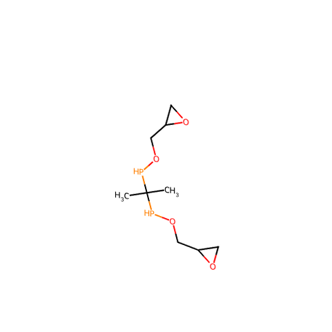 CC(C)(POCC1CO1)POCC1CO1